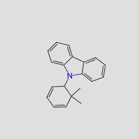 CC1(C)C=CC=CC1n1c2ccccc2c2ccccc21